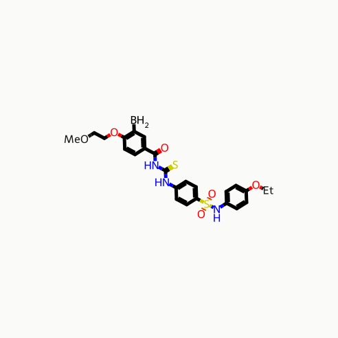 Bc1cc(C(=O)NC(=S)Nc2ccc(S(=O)(=O)Nc3ccc(OCC)cc3)cc2)ccc1OCCOC